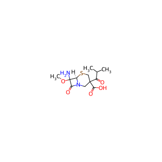 COC1(N)C(=O)N2CC(C(=O)O)(C(=O)C(C)C)CS[C@@H]21